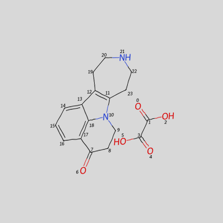 O=C(O)C(=O)O.O=C1CCn2c3c(c4cccc1c42)CCNCC3